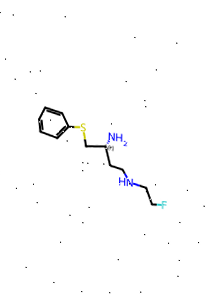 N[C@H](CCNCCF)CSc1ccccc1